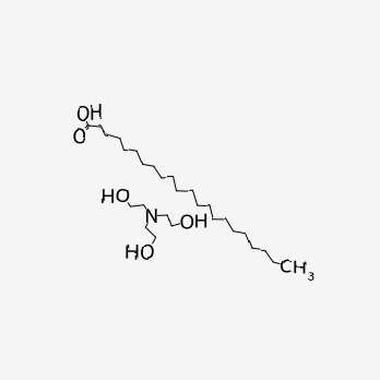 CCCCCCCCCCCCCCCCCCCCCC(=O)O.OCCN(CCO)CCO